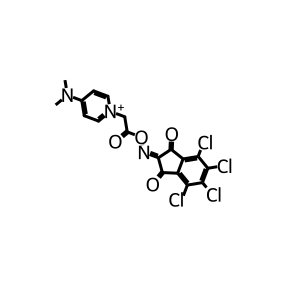 CN(C)c1cc[n+](CC(=O)ON=c2c(=O)c3c(Cl)c(Cl)c(Cl)c(Cl)c3c2=O)cc1